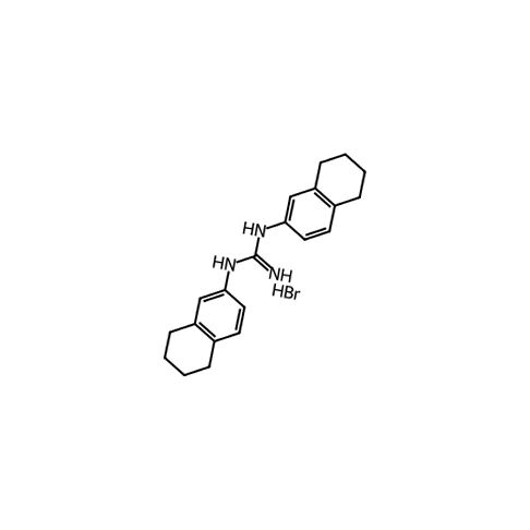 Br.N=C(Nc1ccc2c(c1)CCCC2)Nc1ccc2c(c1)CCCC2